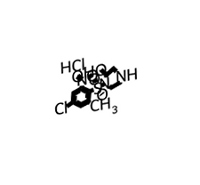 Cc1cc(Cl)cc([N+](=O)[O-])c1S(=O)(=O)N1CCNCC1O.Cl